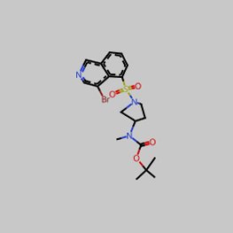 CN(C(=O)OC(C)(C)C)C1CCN(S(=O)(=O)c2cccc3cncc(Br)c23)C1